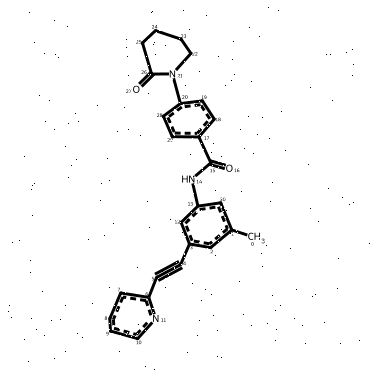 Cc1cc(C#Cc2ccccn2)cc(NC(=O)c2ccc(N3CCCCC3=O)cc2)c1